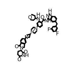 O=C1CCC(N2Cc3cc(N4CC(N5CCN(c6ccc(C(=O)Nc7n[nH]c8ccc(Cc9cc(F)cc(F)c9)cc78)c(NC7CCOCC7)c6)CC5)C4)ccc3C2=O)C(=O)N1